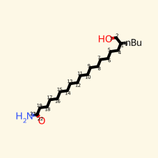 CCCCC(CO)CCCCCCCCCCCCCCCCC(N)=O